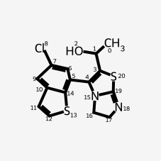 CC(O)C1=C(c2cc(Cl)cc3ccsc23)N2CCN=C2S1